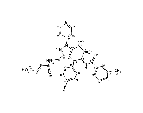 CCN1C(=O)[C@@H](NC(=O)c2cccc(C(F)(F)F)c2)[C@@H](c2ccc(F)cc2)c2c(CNC(=O)C=CC(=O)O)nn(-c3ccccc3)c21